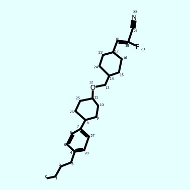 CCCCc1ccc(C2CCC(OCC3CCC(C=C(F)C#N)CC3)CC2)cc1